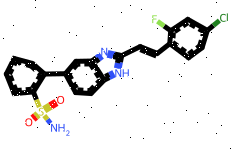 NS(=O)(=O)c1ccccc1-c1ccc2[nH]c(C=Cc3ccc(Cl)cc3F)nc2c1